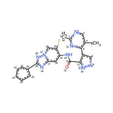 Cc1ncc(C)c(-c2cn[nH]c2C(=O)Nc2cc3nc(-c4ccccc4)nn3cc2F)n1